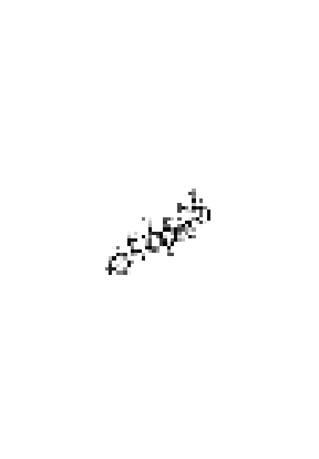 C=C(/N=C(\C)N1CCN(C)CC1)NC(C)c1cccc(NC(=O)c2cncc(C)c2)c1